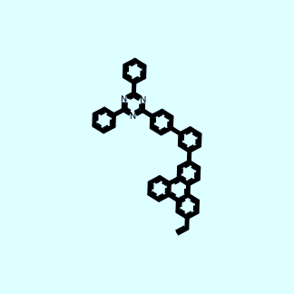 C=Cc1ccc2c3ccc(-c4cccc(-c5ccc(-c6nc(-c7ccccc7)nc(-c7ccccc7)n6)cc5)c4)cc3c3ccccc3c2c1